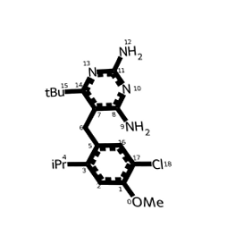 COc1cc(C(C)C)c(Cc2c(N)nc(N)nc2C(C)(C)C)cc1Cl